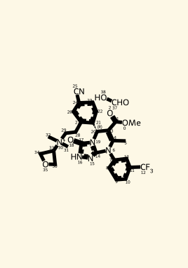 COC(=O)C1=C(C)N(c2cccc(C(F)(F)F)c2)c2n[nH]c(=O)n2[C@@H]1c1ccc(C#N)cc1CC[N+](C)(C)C1COC1.O=CO